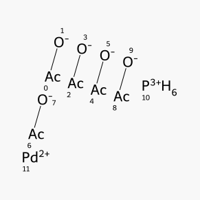 CC(=O)[O-].CC(=O)[O-].CC(=O)[O-].CC(=O)[O-].CC(=O)[O-].[PH6+3].[Pd+2]